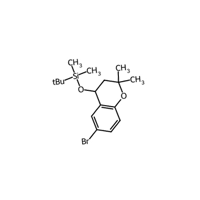 CC1(C)CC(O[Si](C)(C)C(C)(C)C)c2cc(Br)ccc2O1